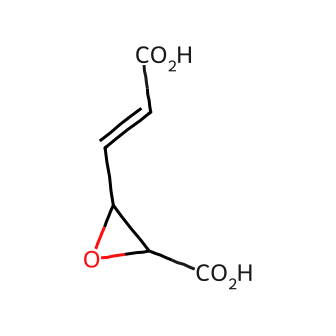 O=C(O)/C=C/C1OC1C(=O)O